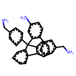 NCc1ccc(C2(c3cc(N)ccc3-c3cccc(CN)c3)c3ccccc3-c3ccccc32)cc1